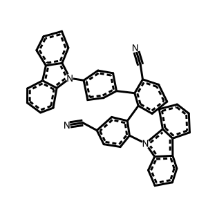 N#Cc1ccc(-n2c3ccccc3c3ccccc32)c(-c2cccc(C#N)c2-c2ccc(-n3c4ccccc4c4ccccc43)cc2)c1